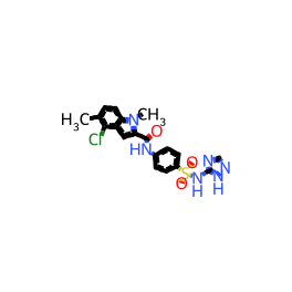 Cc1ccc2c(cc(C(=O)Nc3ccc(S(=O)(=O)Nc4ncn[nH]4)cc3)n2C)c1Cl